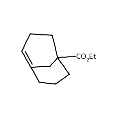 CCOC(=O)C12CCC=C(CCC1)C2